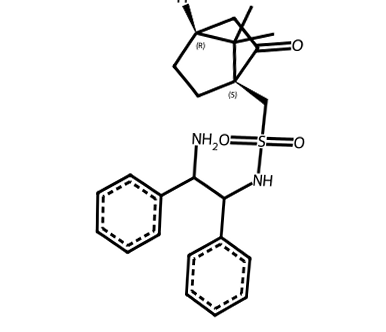 CC1(C)[C@@H]2CC[C@@]1(CS(=O)(=O)NC(c1ccccc1)C(N)c1ccccc1)C(=O)C2